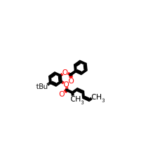 C/C=C\C=C/C(C)C(=O)Oc1cc(C(C)(C)C)ccc1OC(=O)c1ccccc1